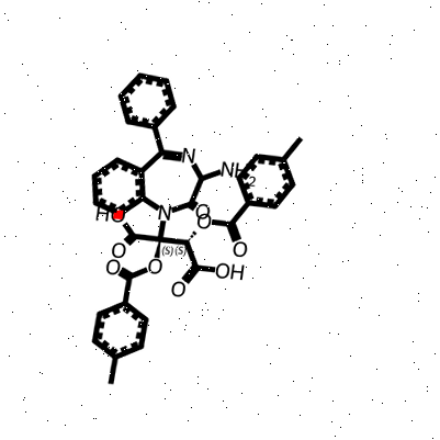 Cc1ccc(C(=O)O[C@H](C(=O)O)[C@](OC(=O)c2ccc(C)cc2)(C(=O)O)N2C(=O)C(N)N=C(c3ccccc3)c3ccccc32)cc1